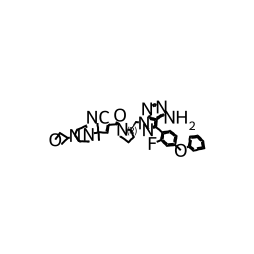 CC(C)(C=C(C#N)C(=O)N1CCC[C@@H]1Cn1nc(-c2ccc(Oc3ccccc3)cc2F)c2c(N)ncnc21)N1CCN(C2COC2)CC1